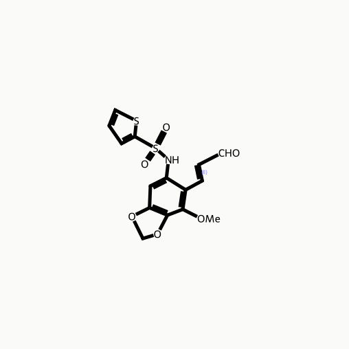 COc1c(/C=C/C=O)c(NS(=O)(=O)c2cccs2)cc2c1OCO2